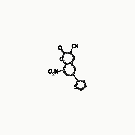 N#Cc1cc2cc(-c3cccs3)cc([N+](=O)[O-])c2oc1=O